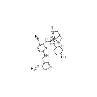 COc1ccncc1CNc1ncc(C#N)c(NC[C@]23CC4C[C@H](C2)[C@@H](NC2CCC(O)CC2)[C@@H](C4)C3)n1